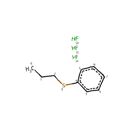 CCCSc1ccccc1.F.F.F